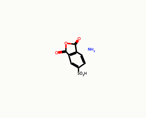 N.O=C1OC(=O)c2cc(S(=O)(=O)O)ccc21